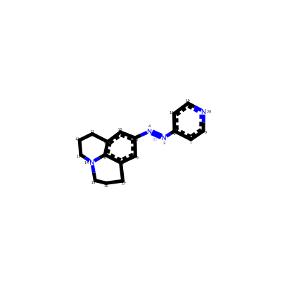 c1cc(/N=N/c2cc3c4c(c2)CCCN4CCC3)ccn1